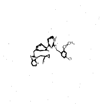 COc1cc(Cl)ccc1COc1nccc(-c2ccc(Cc3nc4cccnc4n3CC3(CF)CC3)cc2F)n1